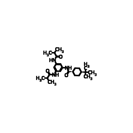 CC(C)C(=O)Nc1cc(NC(=O)C(C)C)cc(NC(=O)[C@H]2CC[C@H](C(C)(C)C)CC2)c1